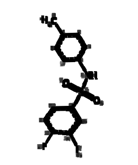 [CH2]c1ccc(NS(=O)(=O)c2ccc(F)c(F)c2)cc1